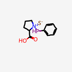 O=C(O)C1CCC[N+]1([S-])Pc1ccccc1